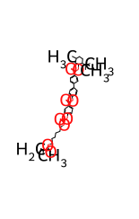 C=C(C)C(=O)OCCCCCCOC(=O)Oc1ccc(C(=O)Oc2ccc(-c3ccc(C(=O)OC4CC(C)CCC4C(C)C)cc3)cc2)cc1